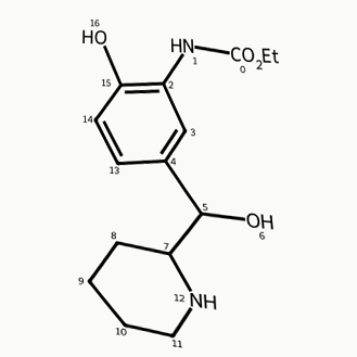 CCOC(=O)Nc1cc(C(O)C2CCCCN2)ccc1O